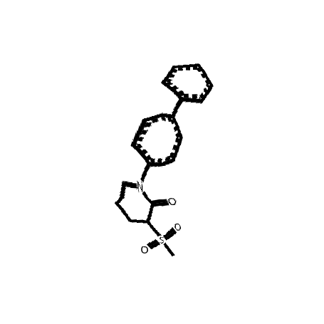 CS(=O)(=O)C1CCCN(c2ccc(-c3ccccc3)cc2)C1=O